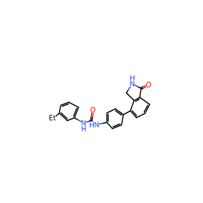 CCc1cccc(NC(=O)Nc2ccc(-c3cccc4c3CNC4=O)cc2)c1